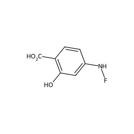 O=C(O)c1ccc(NF)cc1O